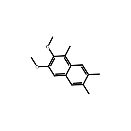 COc1cc2cc(C)c(C)cc2c(C)c1OC